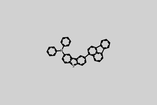 c1ccc(N(c2ccccc2)c2ccc3sc4ccc(-c5ccc6c7c(cccc57)-c5ccccc5-6)cc4c3c2)cc1